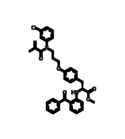 C=C(C)C(=O)N(CCCOc1ccc(C[C@H](Nc2ccccc2C(=O)c2ccccc2)C(=O)OC)cc1)c1cccc(Cl)c1